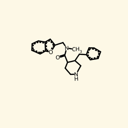 CN(Cc1cc2ccccc2o1)C(=O)C1CCNCC1Cc1ccccc1